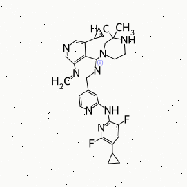 C=Nc1cncc(C2CC2)c1/C(=N\Cc1ccnc(Nc2nc(F)c(C3CC3)cc2F)c1)N1CCNC(C)(C)C1